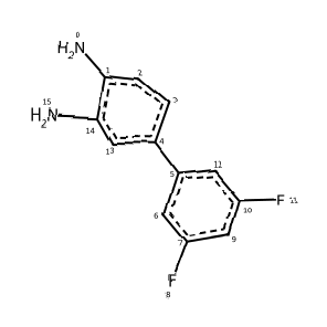 Nc1ccc(-c2cc(F)cc(F)c2)cc1N